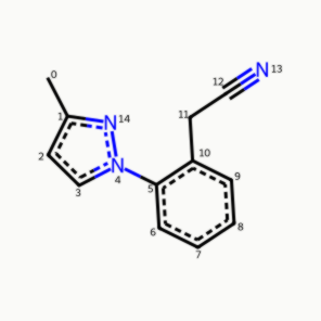 Cc1ccn(-c2ccccc2CC#N)n1